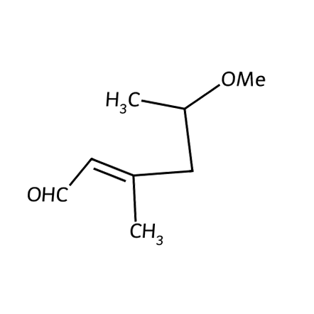 COC(C)CC(C)=CC=O